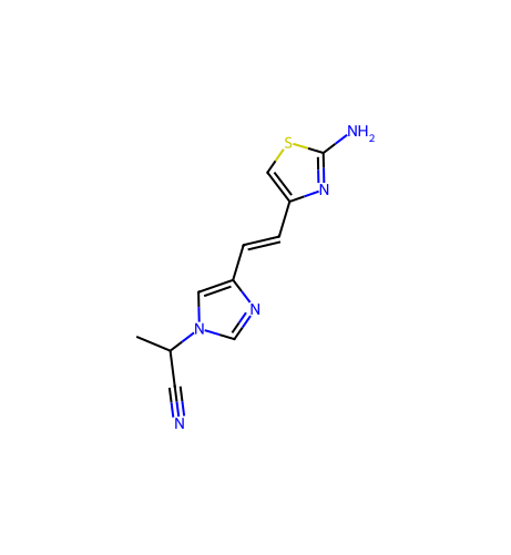 CC(C#N)n1cnc(C=Cc2csc(N)n2)c1